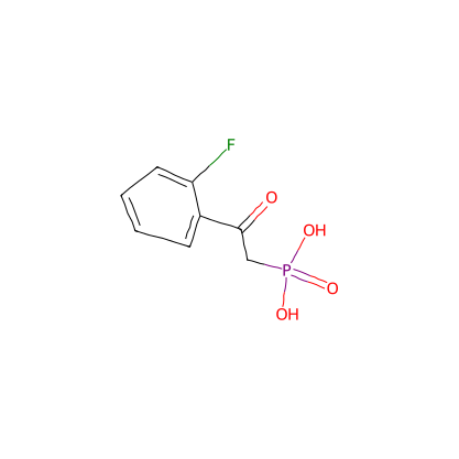 O=C(CP(=O)(O)O)c1ccccc1F